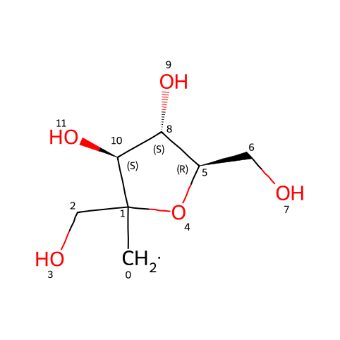 [CH2]C1(CO)O[C@H](CO)[C@@H](O)[C@@H]1O